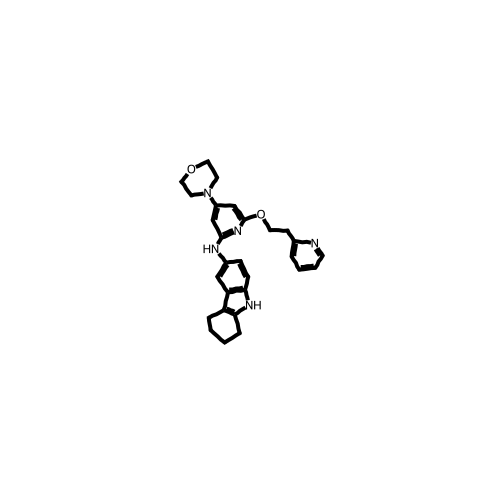 c1ccc(CCOc2cc(N3CCOCC3)cc(Nc3ccc4[nH]c5c(c4c3)CCCC5)n2)nc1